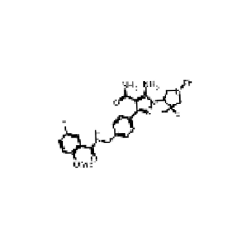 CCN1CC(n2nc(-c3ccc(CNC(=O)c4cc(F)ccc4OC)cc3)c(C(N)=O)c2N)C(F)(F)C1